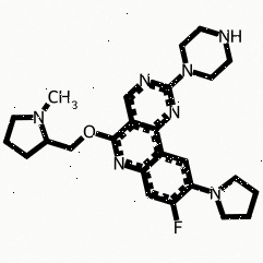 CN1CCCC1COc1nc2cc(F)c(N3CCCC3)cc2c2nc(N3CCNCC3)ncc12